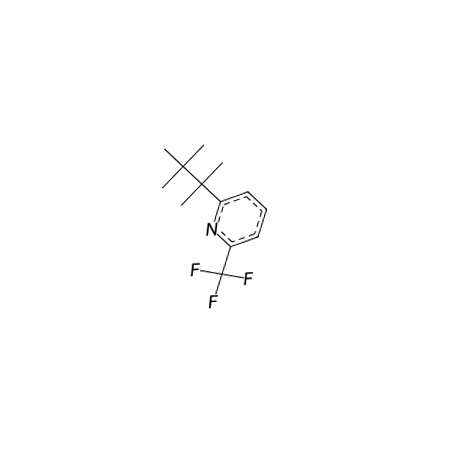 CC(C)(C)C(C)(C)c1cccc(C(F)(F)F)n1